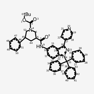 CC(C)(C)OC(=O)N1CC(C(=O)Nc2ccc3c(c2)c(-c2ccncc2)nn3C(c2ccccc2)(c2ccccc2)c2ccccc2)CC(c2ccccc2)C1